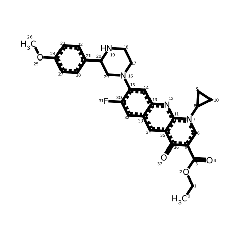 CCOC(=O)c1cn(C2CC2)c2nc3cc(N4CCNC(c5ccc(OC)cc5)C4)c(F)cc3cc2c1=O